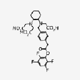 O=C(O)CN(CC(=O)O)[C@@H]1CCCC[C@H]1N(CC(=O)O)Cc1ccc(CC(=O)Oc2c(F)c(F)cc(F)c2F)cc1